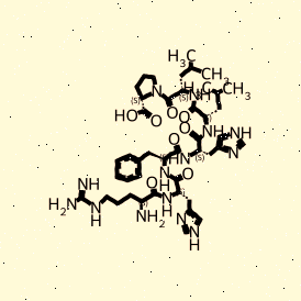 CC(C)C[C@H](NC(=O)[C@H](Cc1c[nH]cn1)NC(=O)[C@H](Cc1ccccc1)NC(=O)[C@H](Cc1c[nH]cn1)NC(=O)[C@@H](N)CCCNC(=N)N)C(=O)N[C@@H](CC(C)C)C(=O)N1CCC[C@H]1C(=O)O